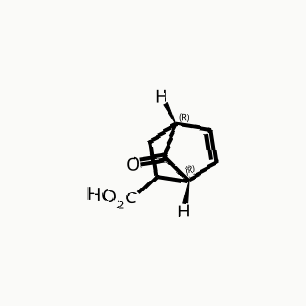 O=C(O)C1C[C@@H]2C=C[C@H]1C2=O